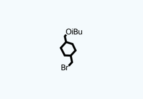 CC(C)COCC1CCC(CBr)CC1